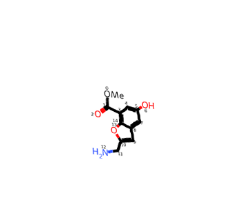 COC(=O)c1cc(O)cc2cc(CN)oc12